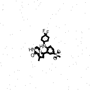 Cc1cc(-c2cc(S(C)(=O)=O)ccc2NC2CCC(F)(F)CC2)n2cc[nH]c(=O)c12